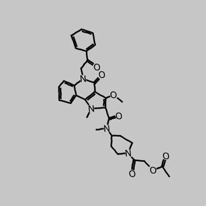 COc1c(C(=O)N(C)C2CCN(C(=O)COC(C)=O)CC2)n(C)c2c1c(=O)n(CC(=O)c1ccccc1)c1ccccc21